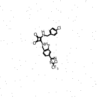 O=c1c(NCc2ccc(Cl)cc2)c(NCc2ccc(-c3noc(C(F)(F)F)n3)cc2F)c1=O